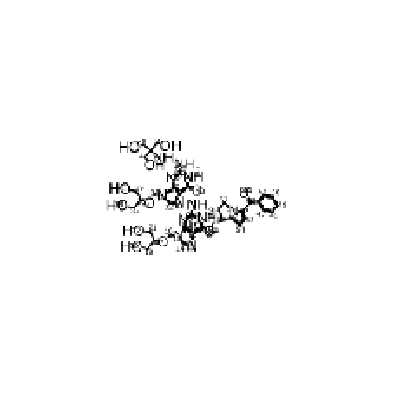 NC(CO)(CO)CO.Nc1nc2c(ncn2COC(CO)CO)c(=O)[nH]1.Nc1nc2c(ncn2COC(CO)CO)c(=O)[nH]1.O=C(c1ccccc1)c1ccc2n1CCC2C(=O)O